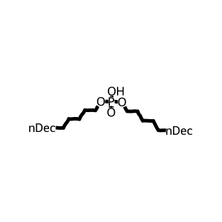 CCCCCCCCCCCCCCCOP(=O)(O)OCCCCCCCCCCCCCCC